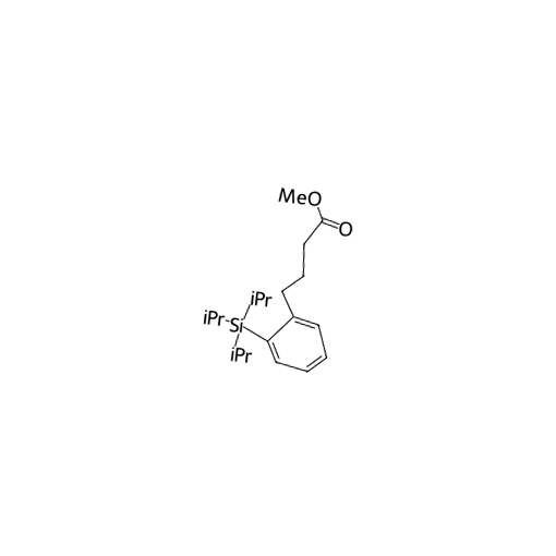 COC(=O)CCCc1ccccc1[Si](C(C)C)(C(C)C)C(C)C